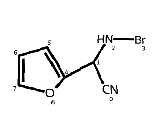 N#CC(NBr)c1ccco1